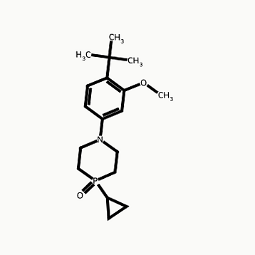 COc1cc(N2CCP(=O)(C3CC3)CC2)ccc1C(C)(C)C